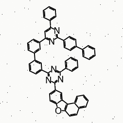 c1ccc(-c2ccc(-c3nc(-c4ccccc4)cc(-c4cccc(-c5cccc(-c6nc(-c7ccccc7)nc(-c7ccc8oc9ccc%10ccccc%10c9c8c7)n6)c5)c4)n3)cc2)cc1